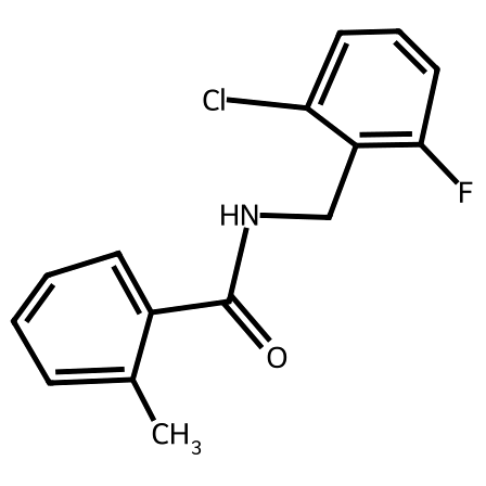 Cc1ccccc1C(=O)NCc1c(F)cccc1Cl